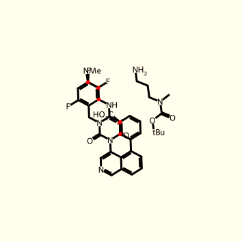 CN(CCCN)C(=O)OC(C)(C)C.CNCCCNc1nc(=O)n(-c2cncc3cccc(-c4cccc(C(=O)O)c4)c23)c(=O)n1Cc1cc(F)c(F)cc1F